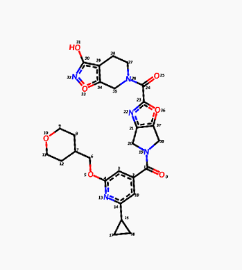 O=C(c1cc(OCC2CCOCC2)nc(C2CC2)c1)N1Cc2nc(C(=O)N3CCc4c(O)noc4C3)oc2C1